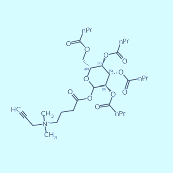 C#CC[N+](C)(C)CCCC(=O)OC1O[C@H](COC(=O)CCC)[C@@H](OC(=O)CCC)[C@H](OC(=O)CCC)[C@H]1OC(=O)CCC